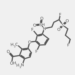 Cc1c(Oc2c(F)ccc(N(CCC(F)S(=O)(=O)CCCF)[SH](=O)=O)c2F)ccc(N)c1C(=O)O